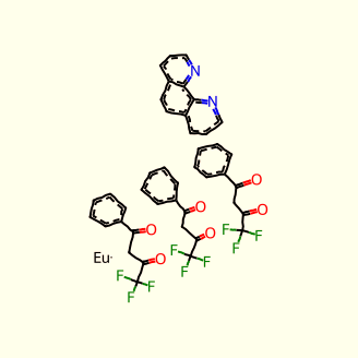 O=C(CC(=O)C(F)(F)F)c1ccccc1.O=C(CC(=O)C(F)(F)F)c1ccccc1.O=C(CC(=O)C(F)(F)F)c1ccccc1.[Eu].c1cnc2c(c1)ccc1cccnc12